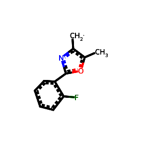 [CH2]c1nc(-c2ccccc2F)oc1C